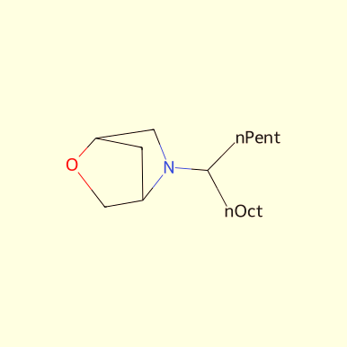 CCCCCCCCC(CCCCC)N1CC2CC1CO2